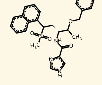 C[C@H](OCc1ccccc1)[C@@H](CC(c1cccc2ccccc12)S(C)(=O)=O)NC(=O)c1c[nH]cn1